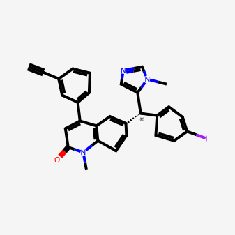 C#Cc1cccc(-c2cc(=O)n(C)c3ccc([C@@H](c4ccc(I)cc4)c4cncn4C)cc23)c1